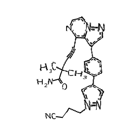 CC(C)(C#Cc1nccn2ncc(-c3ccc(-c4cnn(CCCC#N)c4)cc3)c12)C(N)=O